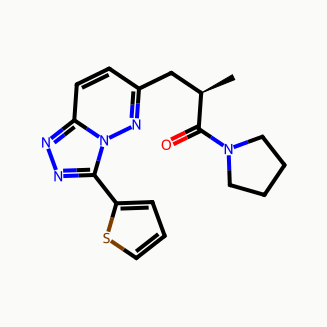 C[C@H](Cc1ccc2nnc(-c3cccs3)n2n1)C(=O)N1CCCC1